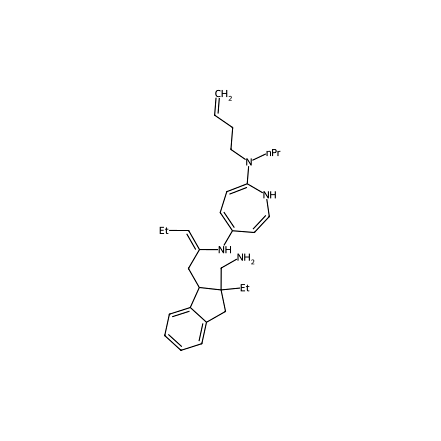 C=CCCN(CCC)C1=CC=C(N/C(=C/CC)CC2c3ccccc3CC2(CC)CN)C=CN1